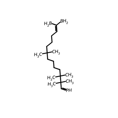 BC(B)=CCCCC(C)(C)CCCCC(C)(C)C(C)(C)C=P